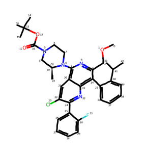 COCc1nc(N2CCN(C(=O)OC(C)(C)C)C[C@@H]2C)c2cc(Cl)c(-c3ccccc3F)nc2c1-c1ccccc1C(C)C